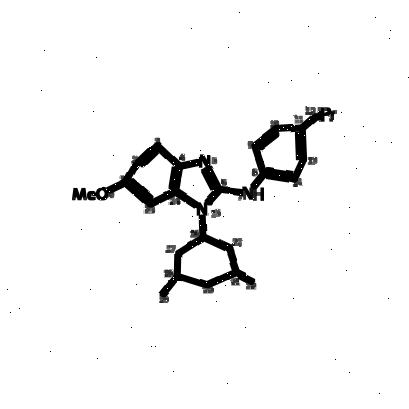 COc1ccc2nc(Nc3ccc(C(C)C)cc3)n(C3CC(C)CC(C)C3)c2c1